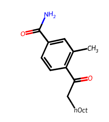 CCCCCCCCCC(=O)c1ccc(C(N)=O)cc1C